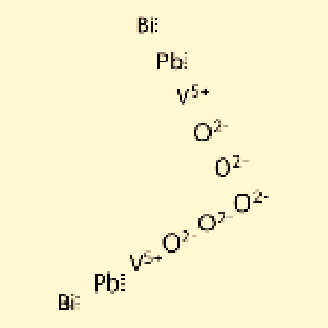 [Bi].[Bi].[O-2].[O-2].[O-2].[O-2].[O-2].[Pb].[Pb].[V+5].[V+5]